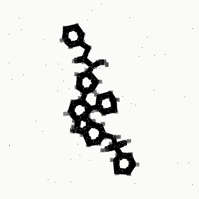 CN(C(=O)Cc1cccnc1)c1ccc(-c2cnc3[nH]c4ccc(OS(=O)(=O)c5ccccc5)cc4c3c2-c2ccccc2)cc1